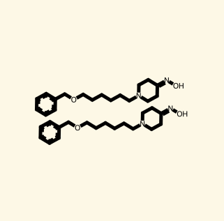 ON=C1CCN(CCCCCCOCc2ccccc2)CC1.ON=C1CCN(CCCCCCOCc2ccccc2)CC1